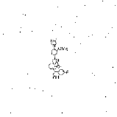 COc1cc(C2=NOC3(CCCN(C(CO)c4ccc(F)cc4)C3=O)C2)ccc1-n1cnc(C)c1